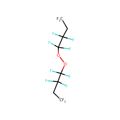 FC(F)(F)CC(F)(F)C(F)(F)OOC(F)(F)C(F)(F)CC(F)(F)F